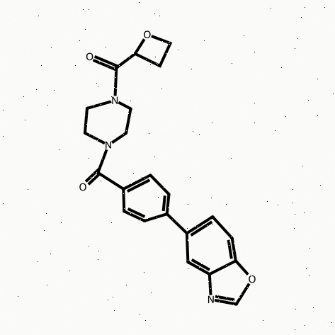 O=C(c1ccc(-c2ccc3ocnc3c2)cc1)N1CCN(C(=O)C2CCO2)CC1